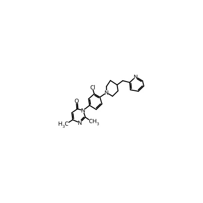 Cc1cc(=O)n(-c2ccc(N3CCC(Cc4ccccn4)CC3)c(Cl)c2)c(C)n1